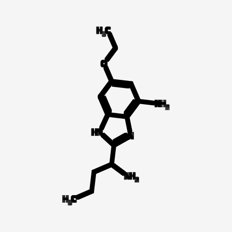 CCCC(N)c1nc2c(N)cc(OCC)cc2[nH]1